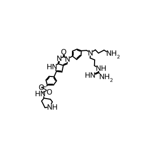 N=C(N)NCCCN(CCCN)Cc1ccc(-n2cc3cc(-c4ccc(S(=O)(=O)NC5CCNCC5)cc4)[nH]c3nc2=O)cc1